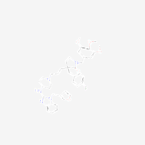 COc1cc(CN2CCC(CCCN3CCC(Nc4nc5ccccc5n4Cc4ccoc4)CC3)(Cc3ccc(F)cc3)C2=O)cc(OC)c1OC